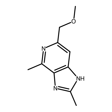 COCc1cc2[nH]c(C)nc2c(C)n1